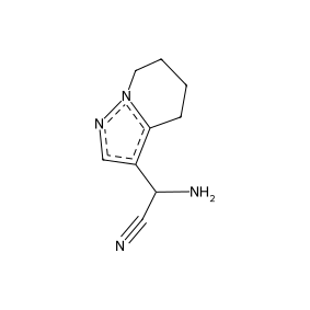 N#CC(N)c1cnn2c1CCCC2